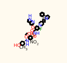 CC(C)c1ccccc1[C@@H]1CCCN1C1CC2(CCN(c3cc(Oc4cnc5[nH]ccc5c4)c(C(=O)NS(=O)(=O)c4cc([N+](=O)[O-])c(NC[C@H]5CC[C@](C)(O)CC5)c5c4OCCO5)cc3F)CC2)C1